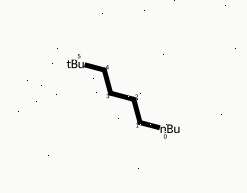 CCCCC[CH]CCC(C)(C)C